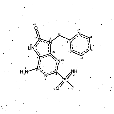 CS(=N)(=O)c1nc(N)c2[nH]c(=O)n(Cc3ccccn3)c2n1